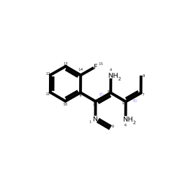 C=N/C(=C(N)\C(N)=C/C)c1ccccc1F